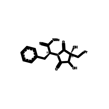 CNC(=S)[C@H](Cc1ccccc1)N1C(=O)C(O)[C@](O)(CC(C)C)C1=O